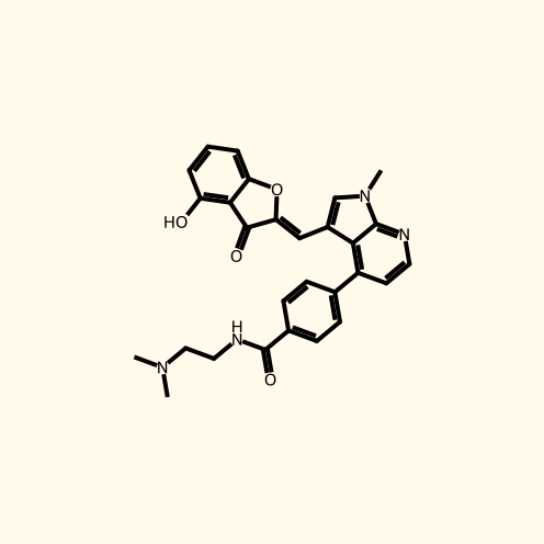 CN(C)CCNC(=O)c1ccc(-c2ccnc3c2c(C=C2Oc4cccc(O)c4C2=O)cn3C)cc1